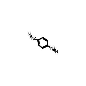 N#[N+]c1ccc([N+]#N)cc1